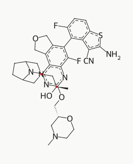 C[C@@H](O)CN1CC2CCC(C1)N2c1nc(OC[C@H]2CN(C)CCO2)nc2c(F)c(-c3c(F)ccc4sc(N)c(C#N)c34)c3c(c12)COC3